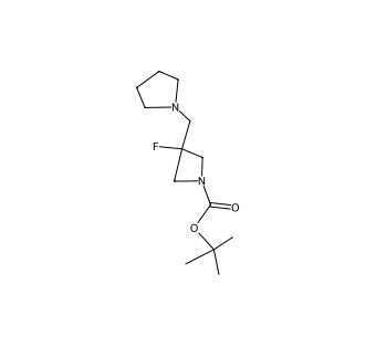 CC(C)(C)OC(=O)N1CC(F)(CN2CCCC2)C1